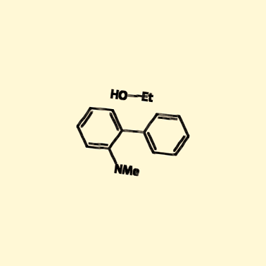 CCO.CNc1ccccc1-c1ccccc1